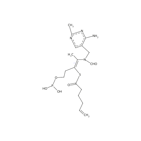 C=CCCCC(=O)S/C(CCOP(O)O)=C(/C)N(C=O)Cc1cnc(C)nc1N